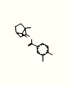 Cc1cc(C(=O)OC2CC3CCC2(C)C3(C)I)ccc1F